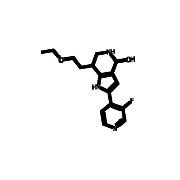 CCOCCC1CNC(O)c2cc(-c3ccncc3F)[nH]c21